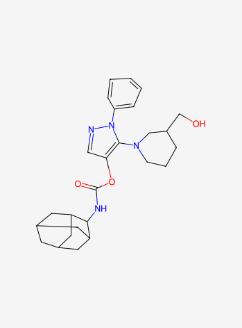 O=C(NC1C2CC3CC(C2)CC1C3)Oc1cnn(-c2ccccc2)c1N1CCCC(CO)C1